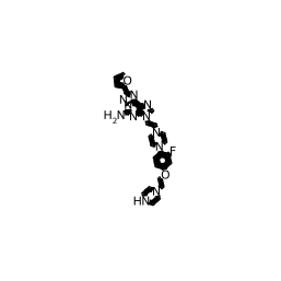 Nc1nc2c(ncn2CCN2CCN(c3ccc(OCCN4CCNCC4)cc3F)CC2)c2nc(-c3ccco3)nn12